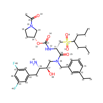 CCCC(CCC)S(=O)(=O)C[C@@H](NC(=O)O[C@@H]1CCN(C(C)=O)C1)C(=O)N(Cc1cccc(CC)c1)C[C@@H](O)[C@@H](N)Cc1cc(F)cc(F)c1